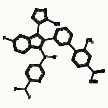 COC(=O)c1ccc(-c2cccc(-c3c(-c4ccsc4C#N)c4cc(F)ccc4n3[S+]([O-])c3ccc(C(F)F)nc3)c2)c(C)c1